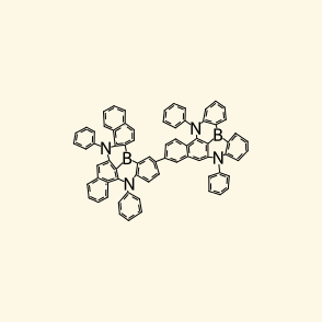 c1ccc(N2c3ccccc3B3c4ccccc4N(c4ccccc4)c4c3c2cc2cc(-c3ccc5c(c3)B3c6ccc7ccccc7c6N(c6ccccc6)c6cc7ccccc7c(c63)N5c3ccccc3)ccc42)cc1